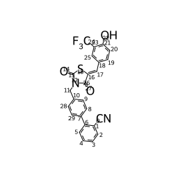 N#Cc1ccccc1-c1ccc(CN2C(=O)S/C(=C\c3ccc(O)c(C(F)(F)F)c3)C2=O)cc1